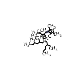 C=c1/c(=C\c2sc(N(CC(CC)CCCC)CC(CC)CCCC)nc2C(C)(C)C)c(C)nn1C